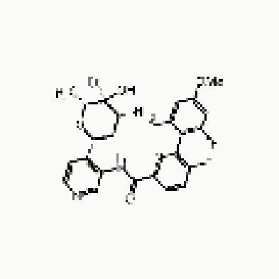 CC[C@]1(O)[C@H](N)C[C@H](c2ccncc2NC(=O)c2ccc(F)c(-c3c(F)cc(OC)cc3F)n2)O[C@@H]1C